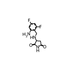 Nc1cc(F)cc(F)c1CNC1CC(=O)NC1=O